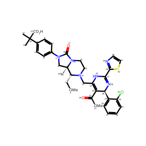 COC[C@@H]1[C@H]2CN(c3ccc(C(C)(C)C(=O)O)cc3)C(=O)N2CCN1CC1=C(C(=O)OC)[C@H](c2ccccc2Cl)N=C(c2nccs2)N1